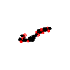 C=C(C)C(=O)OCC(CCOc1ccc2c(c1)CCc1cc(/C=C/C(=O)O[C@H]3CC[C@@H](OC(=O)c4ccc(OC(=O)C(=C)C)cc4)CC3)ccc1-2)COC(=O)C(=C)C